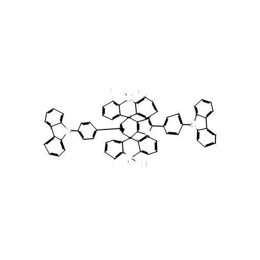 C[Si]1(C)c2ccccc2C2(c3ccccc31)c1cc(-c3ccc(-n4c5ccccc5c5ccccc54)cc3)sc1C1(c3ccccc3[Si](C)(C)c3ccccc31)c1cc(-c3ccc(-n4c5ccccc5c5ccccc54)cc3)sc12